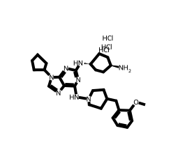 COc1ccccc1CC1CCN(Nc2nc(N[C@H]3CC[C@H](N)CC3)nc3c2ncn3C2CCCC2)CC1.Cl.Cl.Cl